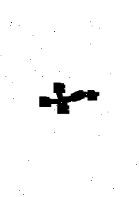 CC[Si](C#CBr)(CC)CC